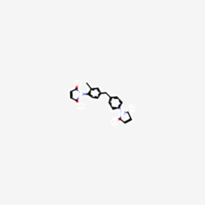 Cc1cc(Cc2ccc(N3C(=O)C=CC3=O)cc2)ccc1N1C(=O)C=CC1=O